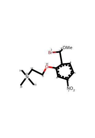 COC(Br)c1ccc([N+](=O)[O-])cc1OCC[Si](C)(C)C